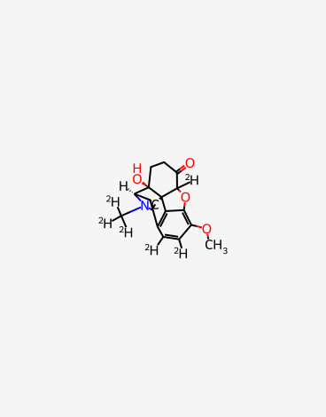 [2H]c1c([2H])c(OC)c2c3c1C[C@H]1N(C([2H])([2H])[2H])CC[C@@]34C([2H])(O2)C(=O)CC[C@@]14O